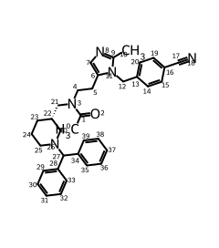 CC(=O)N(CCc1cnc(C)n1Cc1ccc(C#N)cc1)C[C@H]1CCCN(C(c2ccccc2)c2ccccc2)C1